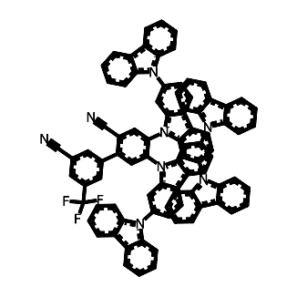 N#Cc1cc(-c2cc(-n3c4cc(-n5c6ccccc6c6ccccc65)ccc4c4ccc(-n5c6ccccc6c6ccccc65)cc43)c(-n3c4cc(-n5c6ccccc6c6ccccc65)ccc4c4ccc(-n5c6ccccc6c6ccccc65)cc43)cc2C#N)cc(C(F)(F)F)c1